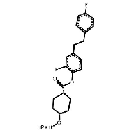 CCCCCO[C@H]1CC[C@H](C(=O)Oc2ccc(CCc3ccc(F)cc3)cc2F)CC1